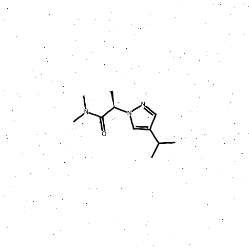 CC(C)c1cnn([C@H](C)C(=O)N(C)C)c1